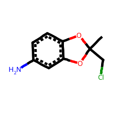 CC1(CCl)Oc2ccc(N)cc2O1